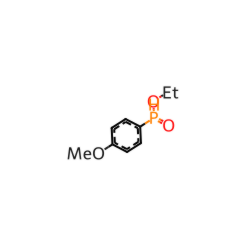 CCO[PH](=O)c1ccc(OC)cc1